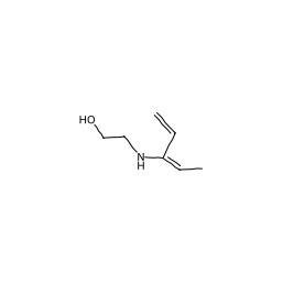 C=C/C(=C\C)NCCO